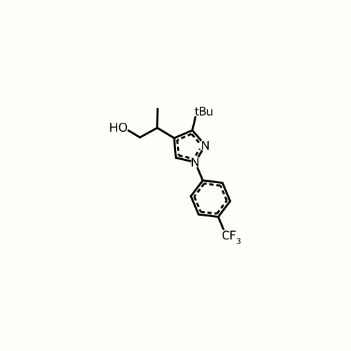 CC(CO)c1cn(-c2ccc(C(F)(F)F)cc2)nc1C(C)(C)C